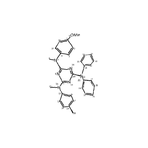 COc1ccc(N(C)c2nc(N(C)c3ccc(C)cc3)nc(N(c3ccccc3)c3ccccc3)n2)cc1